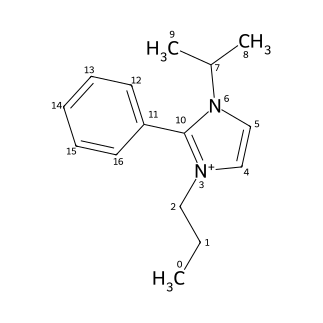 CCC[n+]1ccn(C(C)C)c1-c1ccccc1